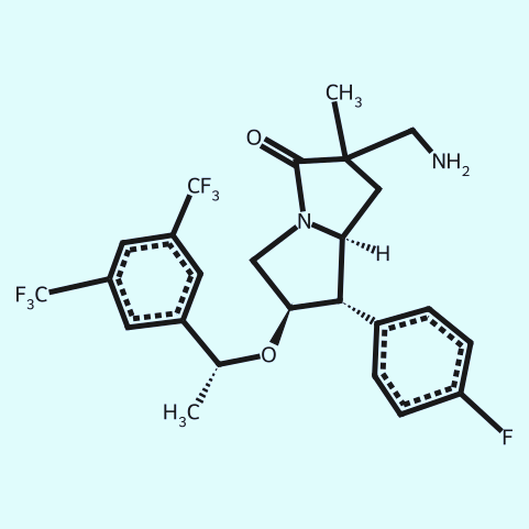 C[C@@H](O[C@H]1CN2C(=O)C(C)(CN)C[C@H]2[C@@H]1c1ccc(F)cc1)c1cc(C(F)(F)F)cc(C(F)(F)F)c1